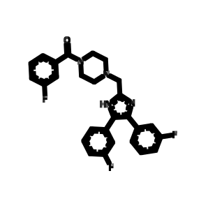 O=C(c1cccc(F)c1)N1CCN(Cc2nc(-c3cccc(F)c3)c(-c3cccc(F)c3)[nH]2)CC1